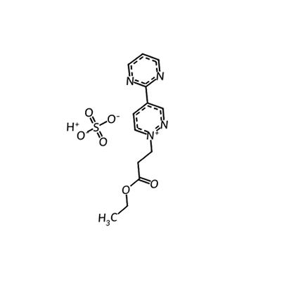 CCOC(=O)CC[n+]1ccc(-c2ncccn2)cn1.O=S(=O)([O-])[O-].[H+]